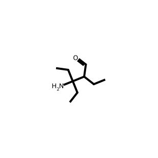 CCC(C=O)C(N)(CC)CC